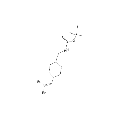 CC(C)(C)OC(=O)NCC1CCC(C=C(Br)Br)CC1